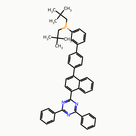 CC(C)(C)CP(CC(C)(C)C)c1cccc(-c2ccc(-c3ccc(-c4nc(-c5ccccc5)nc(-c5ccccc5)n4)c4ccccc34)cc2)c1